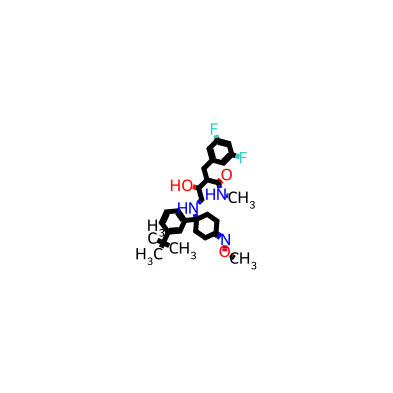 CNC(=O)C(Cc1cc(F)cc(F)c1)C(O)CNC1(c2cccc(C(C)(C)C)c2)CCC(=NOC)CC1